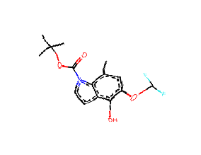 Cc1cc(OC(F)F)c(O)c2ccn(C(=O)OC(C)(C)C)c12